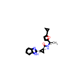 C[C@@H](NC(=O)[C@H]1C[C@@H]1c1nc2ccccc2[nH]1)c1ccc(C2CC2)o1